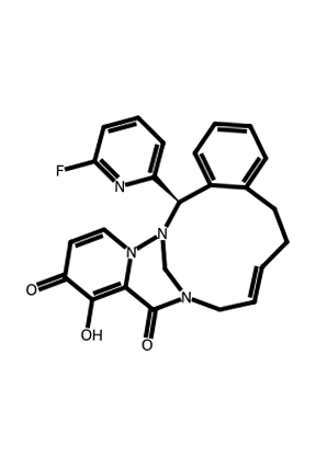 O=C1c2c(O)c(=O)ccn2N2CN1C/C=C/CCc1ccccc1[C@@H]2c1cccc(F)n1